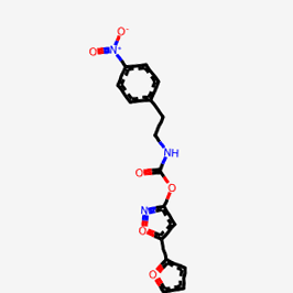 O=C(NCCc1ccc([N+](=O)[O-])cc1)Oc1cc(-c2ccco2)on1